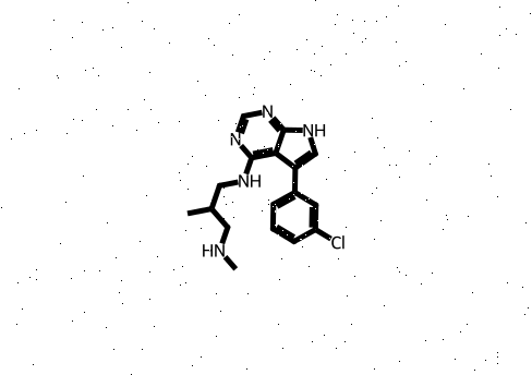 CNCC(C)CNc1ncnc2[nH]cc(-c3cccc(Cl)c3)c12